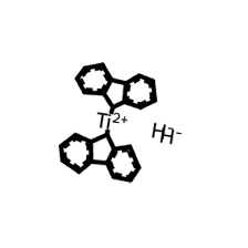 [H-].[H-].c1ccc2c(c1)-c1ccccc1[CH]2[Ti+2][CH]1c2ccccc2-c2ccccc21